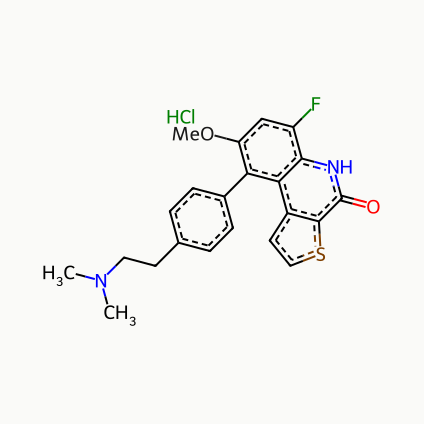 COc1cc(F)c2[nH]c(=O)c3sccc3c2c1-c1ccc(CCN(C)C)cc1.Cl